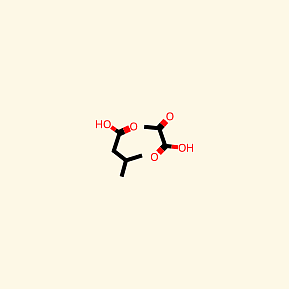 CC(=O)C(=O)O.CC(C)CC(=O)O